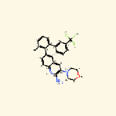 Cc1cccc(-c2cccc(C(F)(F)F)c2)c1-c1ccc2nc(N)c(N3CCOCC3)cc2c1